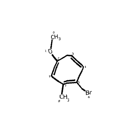 COc1[c]cc(Br)c(C)c1